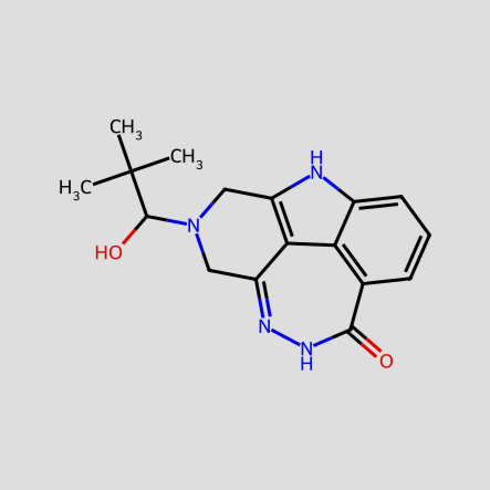 CC(C)(C)C(O)N1CC2=NNC(=O)c3cccc4[nH]c(c2c34)C1